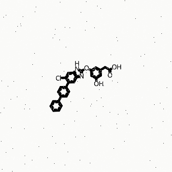 O=C(O)Cc1cc(O)cc(Oc2nc3cc(-c4ccc(-c5ccccc5)cc4)c(Cl)cc3[nH]2)c1